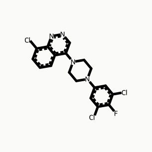 Fc1c(Cl)cc(N2CCN(c3cnnc4c(Cl)cccc34)CC2)cc1Cl